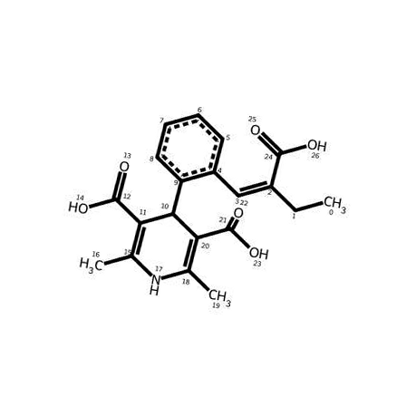 CC/C(=C/c1ccccc1C1C(C(=O)O)=C(C)NC(C)=C1C(=O)O)C(=O)O